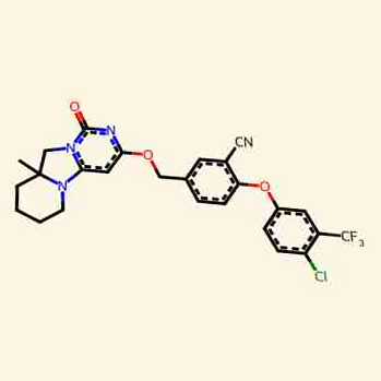 CC12CCCCN1c1cc(OCc3ccc(Oc4ccc(Cl)c(C(F)(F)F)c4)c(C#N)c3)nc(=O)n1C2